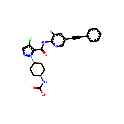 O=C(O)N[C@H]1CC[C@H](n2ncc(Cl)c2C(=O)Nc2ncc(C#Cc3ccccc3)cc2F)CC1